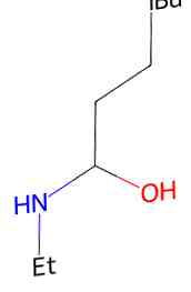 CCNC(O)CCC(C)CC